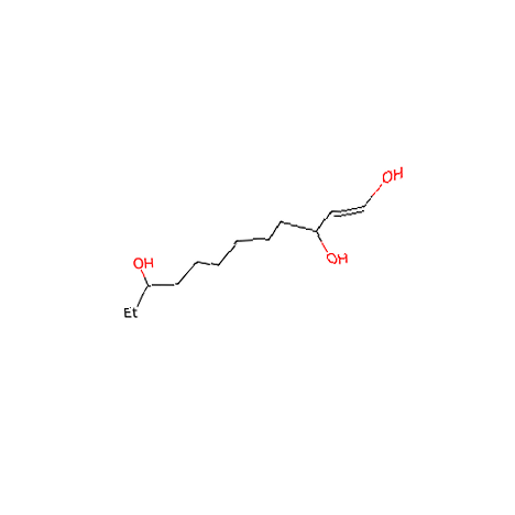 CCC(O)CCCCCCC(O)C=CO